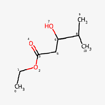 CCOC(=O)CC(O)C(C)C